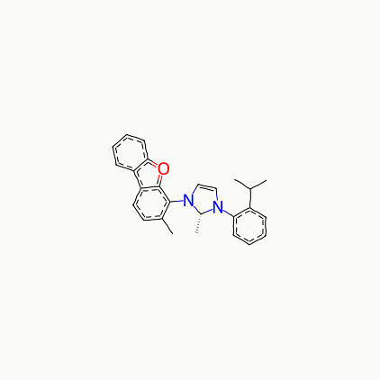 Cc1ccc2c(oc3ccccc32)c1N1C=CN(c2ccccc2C(C)C)[C@@H]1C